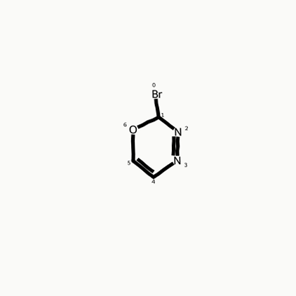 BrC1N=NC=CO1